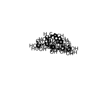 C[C@H](CC[C@@H](O[C@@H]1O[C@H](CO[C@H]2O[C@H](CO)[C@@H](O)[C@H](O)[C@H]2O)[C@@H](O)[C@H](O)[C@H]1O[C@@H]1O[C@H](CO)[C@@H](O)[C@H](O)[C@H]1O)C(C)(C)O)C1CC[C@@]2(C)C3CC=C4C(CC[C@H](O[C@@H]5O[C@H](CO)[C@@H](O)[C@H](O[C@@H]6O[C@H](CO)[C@@H](O)[C@H](O)[C@H]6O)[C@H]5O)C4(C)C)[C@]3(C)[C@H](O)C[C@]12C